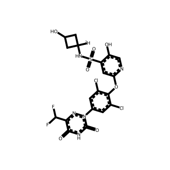 [2H]C1(NS(=O)(=O)c2cc(Oc3c(Cl)cc(-n4nc(C(F)F)c(=O)[nH]c4=O)cc3Cl)ncc2O)CC(O)C1